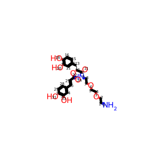 NCCOCCOCCNC(=O)[C@@H](Cc1ccc(O)c(O)c1)OC(=O)/C=C/c1ccc(O)c(O)c1